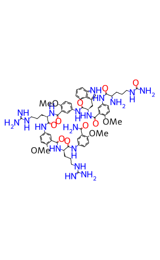 COc1ccc(NC(=O)[C@@H](CCCNC(=N)N)NC(=O)c2cc(NC(=O)[C@@H](CCCNC(=N)N)NC(=O)c3cc(NC(=O)[C@@H](Cc4c[nH]c5ccccc45)NC(=O)c4cc(NC(=O)[C@H](N)CCCNC(N)=O)ccc4OC)ccc3OC)ccc2OC)cc1C(N)=O